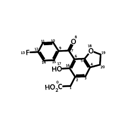 O=C(O)Cc1cc2c(c(C(=O)c3ccc(F)cc3)c1O)OCC2